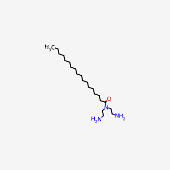 CCCCCCCCCCCCCCCCCC(=O)N(CCN)CCN